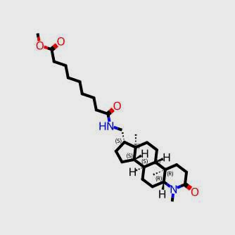 COC(=O)CCCCCCCC(=O)NC[C@H]1CC[C@H]2[C@@H]3CC[C@H]4N(C)C(=O)CC[C@]4(C)[C@H]3CC[C@]12C